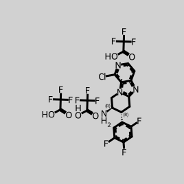 N[C@H]1Cn2c(nc3ccnc(Cl)c32)C[C@@H]1c1cc(F)c(F)cc1F.O=C(O)C(F)(F)F.O=C(O)C(F)(F)F.O=C(O)C(F)(F)F